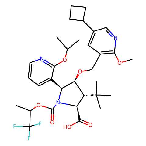 COc1ncc(C2CCC2)cc1CO[C@H]1[C@H](C(C)(C)C)[C@@H](C(=O)O)N(C(=O)OC(C)C(F)(F)F)[C@H]1c1cccnc1OC(C)C